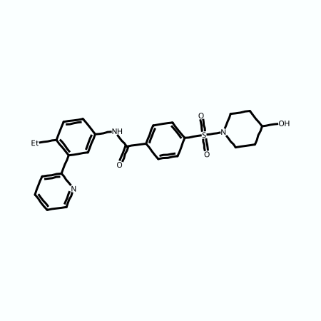 CCc1ccc(NC(=O)c2ccc(S(=O)(=O)N3CCC(O)CC3)cc2)cc1-c1ccccn1